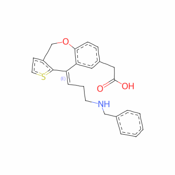 O=C(O)Cc1ccc2c(c1)/C(=C\CCNCc1ccccc1)c1sccc1CO2